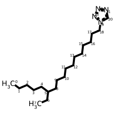 CCCCCC(CC)CCCCCCCCCC[CH]n1cnnn1